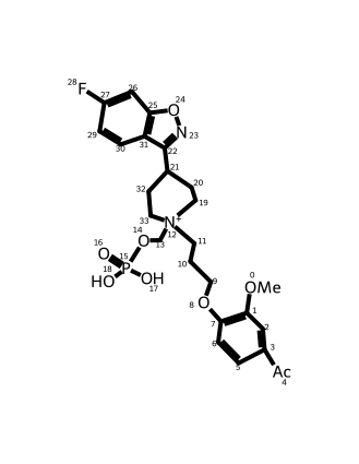 COc1cc(C(C)=O)ccc1OCCC[N+]1(COP(=O)(O)O)CCC(c2noc3cc(F)ccc23)CC1